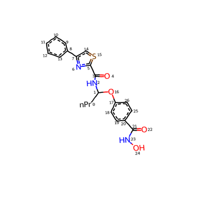 CCCC(NC(=O)c1nc(-c2ccccc2)cs1)Oc1ccc(C(=O)NO)cc1